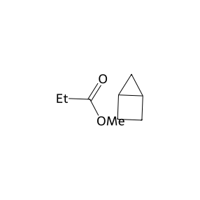 C1CC2CC12.CCC(=O)OC